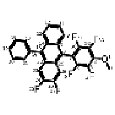 COc1c(F)c(F)c(-c2c3ccccc3c(-c3ccccc3)c3cc(F)c(F)cc23)c(F)c1F